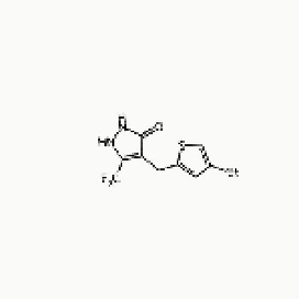 CCc1csc(Cc2c(C(F)(F)F)[nH][nH]c2=O)c1